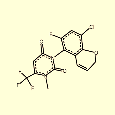 Cn1c(C(F)(F)F)cc(=O)n(-c2c(F)cc(Cl)c3c2C=CCO3)c1=O